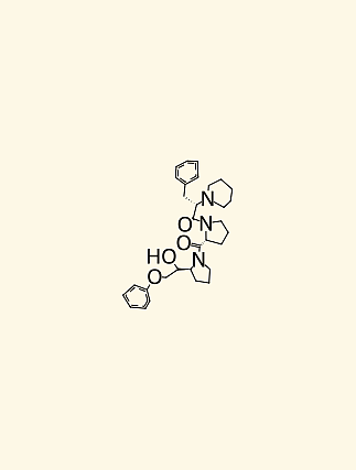 O=C([C@H](Cc1ccccc1)N1CCCCC1)N1CCC[C@@H]1C(=O)N1CCC[C@H]1C(O)COc1ccccc1